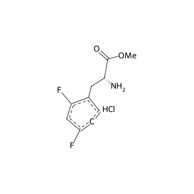 COC(=O)[C@H](N)Cc1ccc(F)cc1F.Cl